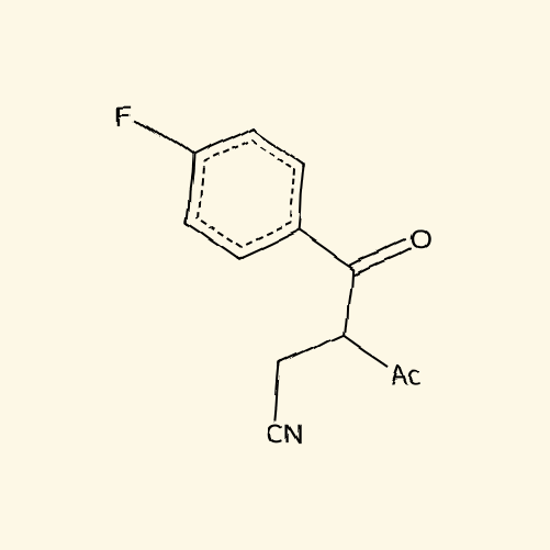 CC(=O)C(CC#N)C(=O)c1ccc(F)cc1